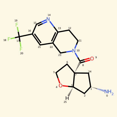 N[C@@H]1C[C@H]2OCC[C@@]2(C(=O)N2CCc3ncc(C(F)(F)F)cc3C2)C1